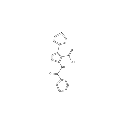 O=C(Nc1scc(-c2cnccn2)c1C(=O)O)c1cccnc1